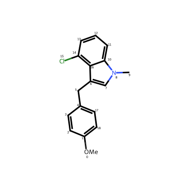 COc1ccc(Cc2cn(C)c3cccc(Cl)c23)cc1